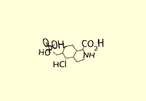 Cl.O=C(O)C1NCCC2CC(CP(=O)(O)O)CCC21